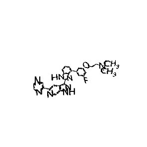 CN(C)CCOc1cc(F)cc(-c2cccc3[nH]c(-c4n[nH]c5cnc(-c6cnccn6)cc45)nc23)c1